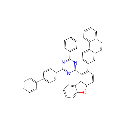 C1=CC2Oc3ccccc3C2C(c2nc(-c3ccccc3)nc(-c3ccc(-c4ccccc4)cc3)n2)=C1c1ccc2c(ccc3ccccc32)c1